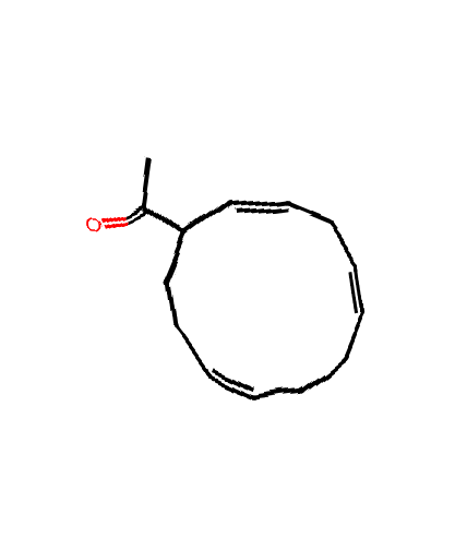 CC(=O)C1C=CCC=CCCC=CCC1